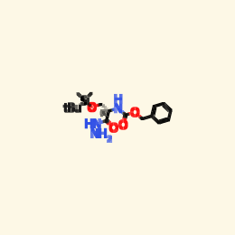 CC(C)(C)[Si](C)(C)OC[C@H](NC(=O)OCc1ccccc1)C(=O)NN